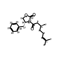 CC(C)=CCC[C@H](C)CC(=O)N1C(=O)OC[C@H]1Cc1ccccc1